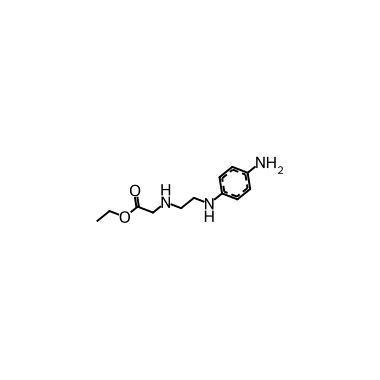 CCOC(=O)CNCCNc1ccc(N)cc1